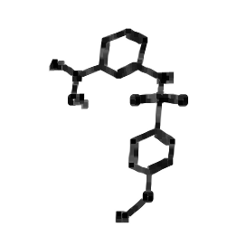 CCOc1ccc(S(=O)(=O)Nc2cccc(N(C)C(C)=O)c2)cc1